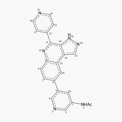 CC(=O)Nc1cncc(-c2ccc3nc(-c4ccncc4)c4[nH]ncc4c3c2)c1